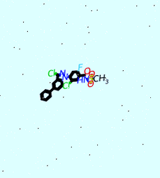 CS(=O)(=O)NC(=O)c1cc(Cl)c(-n2nc(Cl)c3cc(-c4ccccc4)ccc32)cc1F